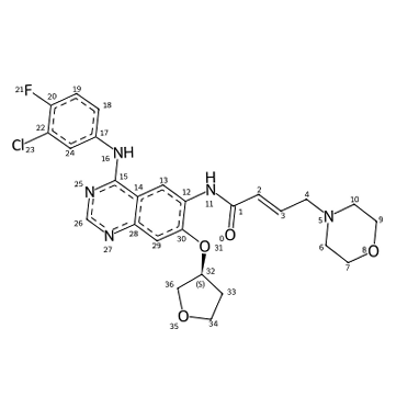 O=C(C=CCN1CCOCC1)Nc1cc2c(Nc3ccc(F)c(Cl)c3)ncnc2cc1O[C@H]1CCOC1